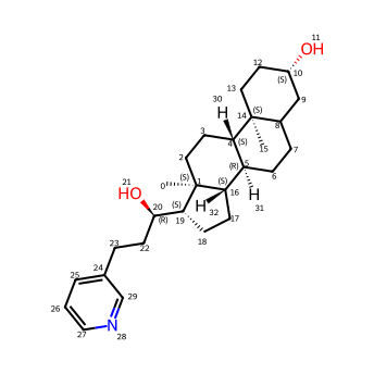 C[C@]12CC[C@H]3[C@@H](CCC4C[C@@H](O)CC[C@@]43C)[C@@H]1CC[C@@H]2[C@H](O)CCc1cccnc1